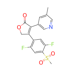 Cc1cncc(C2=C(c3cc(F)c(S(C)(=O)=O)cc3F)COC2=O)c1